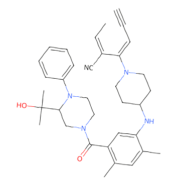 C#C/C=C(\C(C#N)=C/C)N1CCC(Nc2cc(C(=O)N3CCN(c4ccccc4)C(C(C)(C)O)C3)c(C)cc2C)CC1